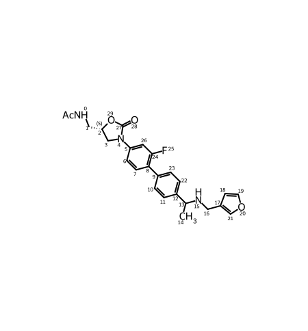 CC(=O)NC[C@H]1CN(c2ccc(-c3ccc(C(C)NCc4ccoc4)cc3)c(F)c2)C(=O)O1